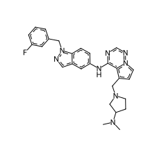 CN(C)C1CCN(Cc2ccn3ncnc(Nc4ccc5c(cnn5Cc5cccc(F)c5)c4)c23)C1